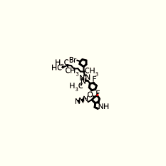 C#CC(C)(C)CCCCC(C)(c1cccc(Br)c1)c1nc(-c2cc(Oc3c(F)cc4[nH]ccc4c3CN=[N+]=[N-])ccc2F)n(C)n1